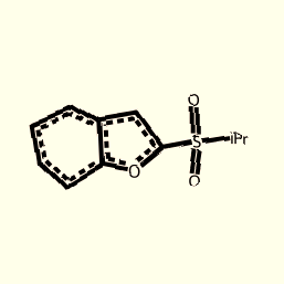 CC(C)S(=O)(=O)c1cc2ccccc2o1